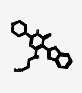 CC(=O)NCCNc1nc(N2CCOCC2)[nH]c(=O)c1-c1nc2ccccc2s1